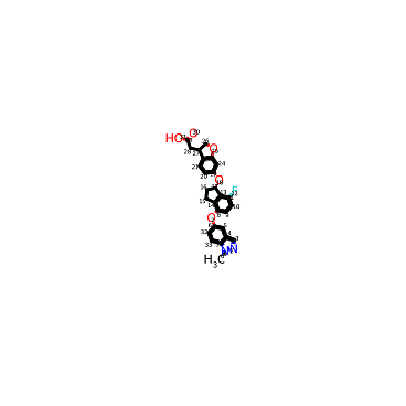 Cn1ncc2cc(Oc3ccc(F)c4c3CC[C@H]4Oc3ccc4c(c3)OCC4CC(=O)O)ccc21